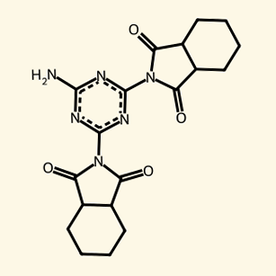 Nc1nc(N2C(=O)C3CCCCC3C2=O)nc(N2C(=O)C3CCCCC3C2=O)n1